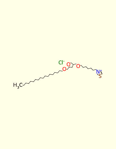 CCCCCCCCCCCCCCCCCCOCC1CC(COCCCCCCC[n+]2ccsc2)CO1.[Cl-]